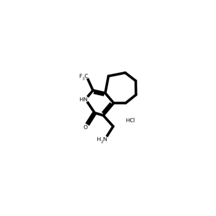 Cl.NCc1c2c(c(C(F)(F)F)[nH]c1=O)CCCCC2